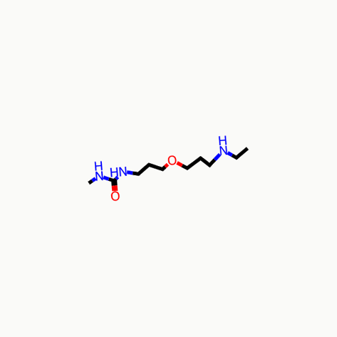 CCNCCCOCCCNC(=O)NC